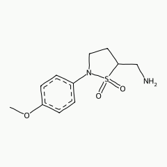 COc1ccc(N2CCC(CN)S2(=O)=O)cc1